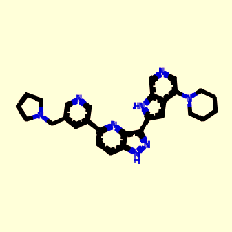 c1ncc(-c2ccc3[nH]nc(-c4cc5c(N6CCCCC6)cncc5[nH]4)c3n2)cc1CN1CCCC1